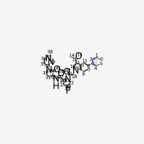 C/C=C\C(=C/C)c1ccc2c(c1)c(C(C)=O)cn2CC(=O)N1C[C@H](F)C[C@H]1C(=O)NC1CCN(c2ccn(C)n2)C1=O